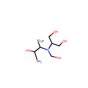 CC(O)C(N(CO)C(CO)CO)S(=O)(=O)O